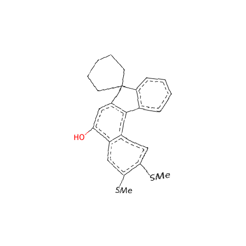 CSc1cc2c(O)cc3c(c2cc1SC)-c1ccccc1C31CCCCC1